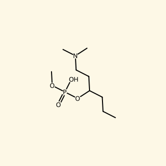 CCCC(CCN(C)C)OP(=O)(O)OC